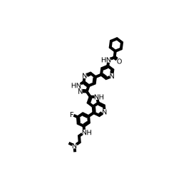 CN(C)CCNc1cc(F)cc(-c2cncc3[nH]c(-c4n[nH]c5ncc(-c6cncc(NC(=O)C7CCCCC7)c6)cc45)cc23)c1